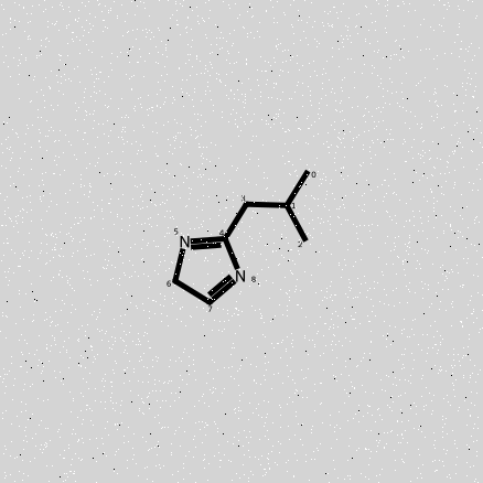 CC(C)CC1=NCC=N1